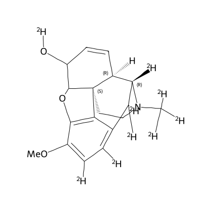 [2H]OC1C=C[C@@H]2[C@@]34CCN(C([2H])([2H])[2H])[C@]2([2H])C([2H])([2H])c2c([2H])c([2H])c(OC)c(c23)OC14